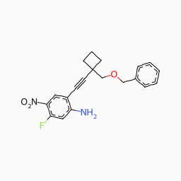 Nc1cc(F)c([N+](=O)[O-])cc1C#CC1(COCc2ccccc2)CCC1